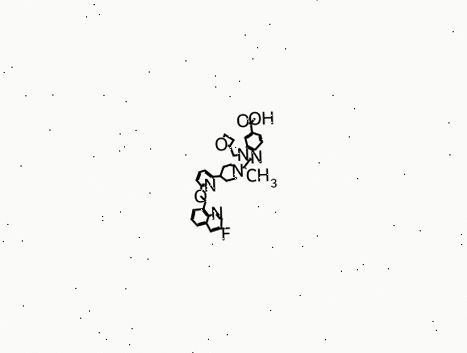 C[C@@H](c1nc2ccc(C(=O)O)cc2n1CC1CCO1)N1CCC(c2cccc(OCc3cccc4cc(F)cnc34)n2)CC1